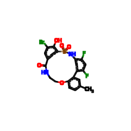 Cc1ccc2c(c1)-c1cc(c(F)cc1F)NS(=O)(=O)c1cc(cc(Br)c1O)C(=O)NCCO2